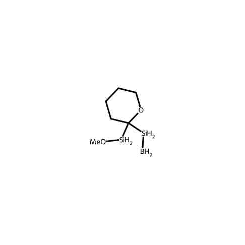 B[SiH2]C1([SiH2]OC)CCCCO1